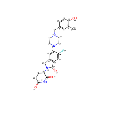 N#Cc1cc(CN2CCN(c3cc4c(cc3F)C(=O)N(C3CCC(=O)NC3=O)C4)CC2)ccc1O